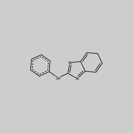 C1=CC2=NC([Se]c3ccccc3)=NC2=CC1